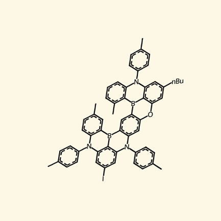 CCCCc1cc2c3c(c1)N(c1ccc(C)cc1)c1cccc(C)c1B3c1cc3c(cc1O2)N(c1ccc(C)cc1)c1cc(I)cc2c1B3c1cc(C)ccc1N2c1ccc(C)cc1